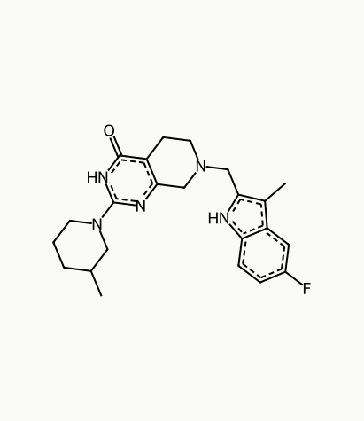 Cc1c(CN2CCc3c(nc(N4CCCC(C)C4)[nH]c3=O)C2)[nH]c2ccc(F)cc12